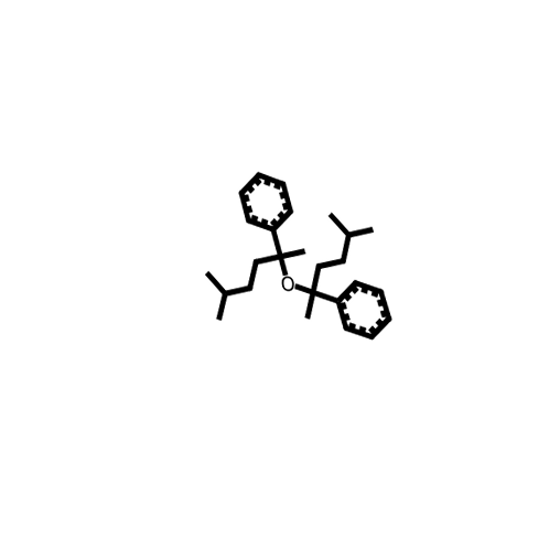 CC(C)CCC(C)(OC(C)(CCC(C)C)c1ccccc1)c1ccccc1